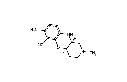 CN1CC[C@H]2Oc3c(ccc(N)c3C#N)N[C@@H]2C1